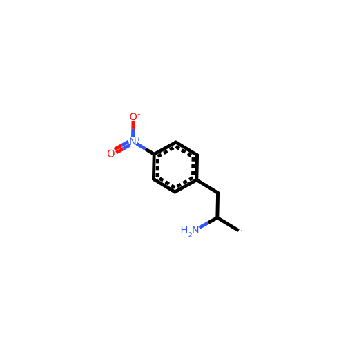 [CH2]C(N)Cc1ccc([N+](=O)[O-])cc1